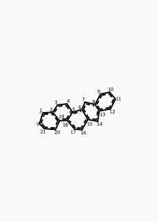 [c]1[c]c2ccc3c4cc5ccccc5cc4ccc3c2cc1